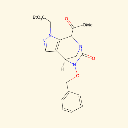 CCOC(=O)Cn1ncc2c1C(C(=O)OC)N1C[C@H]2N(OCc2ccccc2)C1=O